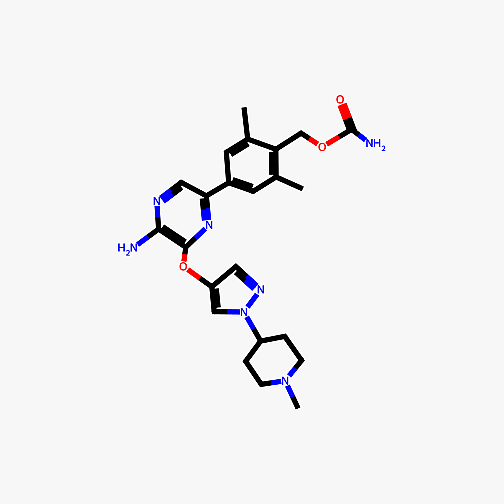 Cc1cc(-c2cnc(N)c(Oc3cnn(C4CCN(C)CC4)c3)n2)cc(C)c1COC(N)=O